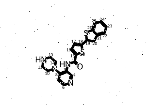 O=C(Nc1cnccc1N1CCNCC1)c1ccc(C2Cc3ccccc3S2)s1